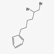 BrCC(Br)CCCCc1cc[c]cc1